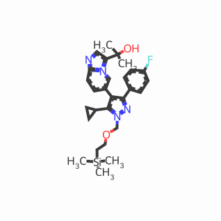 CC(C)(O)c1cnc2ccc(-c3c(-c4ccc(F)cc4)nn(COCC[Si](C)(C)C)c3C3CC3)cn12